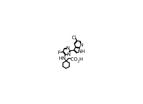 O=C(O)CC1(Nc2nc(-c3c[nH]c4ncc(Cl)cc34)ncc2F)CCCCC1